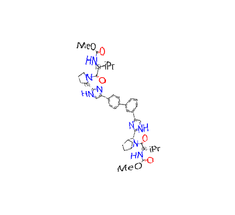 COC(=O)N[C@H](C(=O)N1C2CCC(C2)C1c1nc(-c2cccc(-c3ccc(-c4c[nH]c([C@@H]5CCCN5C(=O)[C@@H](NC(=O)OC)C(C)C)n4)cc3)c2)c[nH]1)C(C)C